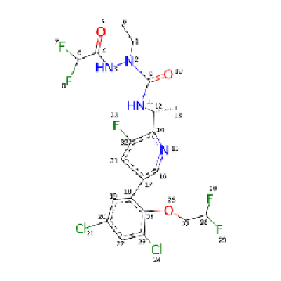 CCN(NC(=O)C(F)F)C(=O)N[C@H](C)c1ncc(-c2cc(Cl)cc(Cl)c2OCC(F)F)cc1F